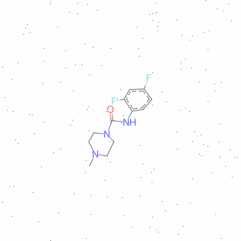 CN1CCN(C(=O)Nc2ccc(F)cc2F)CC1